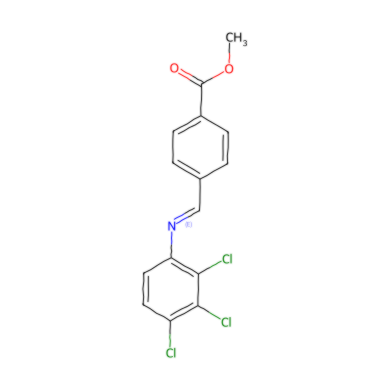 COC(=O)c1ccc(/C=N/c2ccc(Cl)c(Cl)c2Cl)cc1